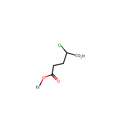 CCOC(=O)CCC(Cl)C(=O)O